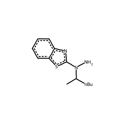 CCCCC(C)N(N)c1nc2ccccc2s1